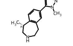 C[C@H]1CNCCc2cc(-c3ccnn3C)ccc21